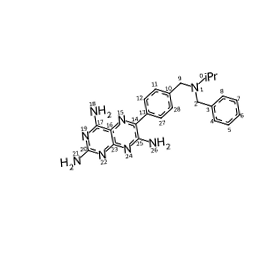 CC(C)N(Cc1ccccc1)Cc1ccc(-c2nc3c(N)nc(N)nc3nc2N)cc1